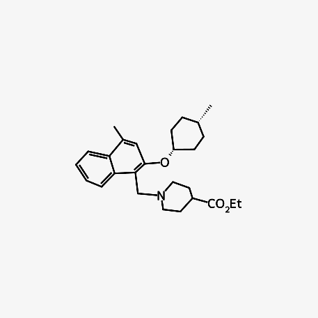 CCOC(=O)C1CCN(Cc2c(O[C@H]3CC[C@@H](C)CC3)cc(C)c3ccccc23)CC1